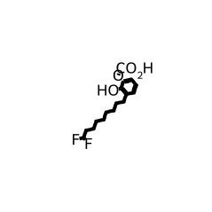 O=C(O)Oc1cccc(CCCCCCCCC(F)F)c1O